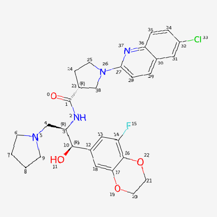 O=C(N[C@H](CN1CCCC1)[C@H](O)c1cc(F)c2c(c1)OCCO2)[C@@H]1CCN(c2ccc3cc(Cl)ccc3n2)C1